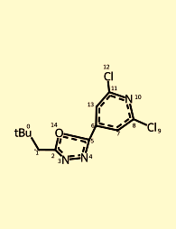 CC(C)(C)[CH]c1nnc(-c2cc(Cl)nc(Cl)c2)o1